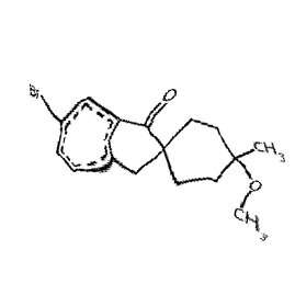 COC1(C)CCC2(CC1)Cc1ccc(Br)cc1C2=O